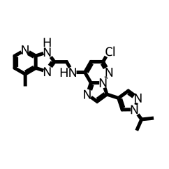 Cc1ccnc2[nH]c(CNc3cc(Cl)nn4c(-c5cnn(C(C)C)c5)cnc34)nc12